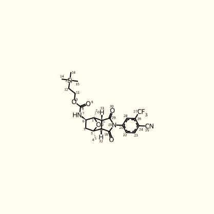 C[C@]12O[C@](C)(C[C@H]1NC(=O)OCC[Si](C)(C)C)[C@H]1C(=O)N(c3ccc(C#N)c(C(F)(F)F)c3)C(=O)[C@H]12